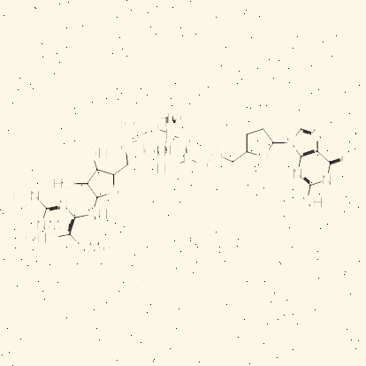 CN/C(N)=N\C(NC1OC(CO[PH](O)(O)O[PH](O)(O)OP(O)OOCC2CCC(n3cnc4c(=O)[nH]c(N)nc43)O2)C(O)C1O)=C(/C=O)NC